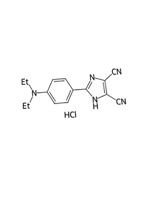 CCN(CC)c1ccc(-c2nc(C#N)c(C#N)[nH]2)cc1.Cl